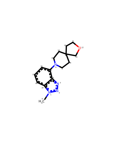 Cn1nnc2c(N3CCC4(CCOC4)CC3)cccc21